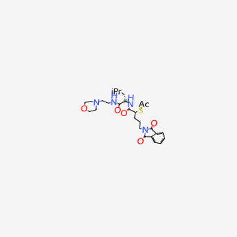 CC(=O)SC(CCCN1C(=O)c2ccccc2C1=O)C(=O)N[C@@H](CC(C)C)C(=O)NCCN1CCOCC1